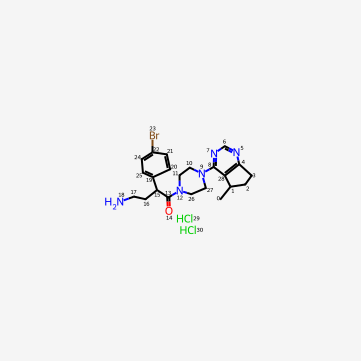 CC1CCc2ncnc(N3CCN(C(=O)C(CCN)c4ccc(Br)cc4)CC3)c21.Cl.Cl